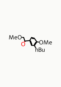 CCCCc1cc(C(=O)COC)ccc1OC